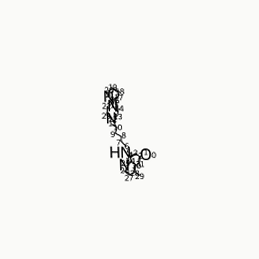 COc1cc(NCCCCCCN2CCN(c3ccccn3)CC2)c2nccc(C)c2c1